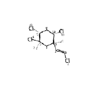 C[C@]1(/C=C/Cl)C[C@@](C)(Cl)[C@H](Cl)C[C@@H]1Cl